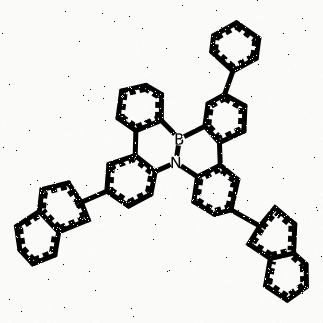 c1ccc(-c2ccc3c(c2)B2c4ccccc4-c4cc(-c5ccc6ccccc6c5)ccc4N2c2ccc(-c4ccc5ccccc5c4)cc2-3)cc1